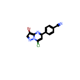 N#Cc1ccc(-c2cc(Cl)n3ncc(Br)c3n2)cc1